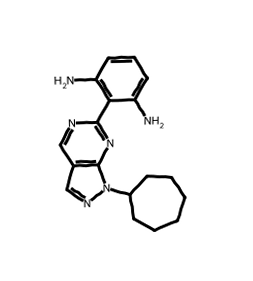 Nc1cccc(N)c1-c1ncc2cnn(C3CCCCCC3)c2n1